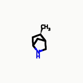 C[C@H]1CC2CC1CN2